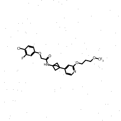 O=C(COc1ccc(Cl)c(F)c1)NC12CC(c3ccnc(OCCCOC(F)(F)F)c3)(C1)C2